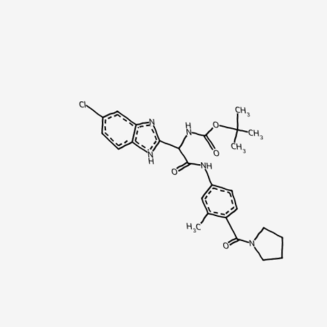 Cc1cc(NC(=O)C(NC(=O)OC(C)(C)C)c2nc3cc(Cl)ccc3[nH]2)ccc1C(=O)N1CCCC1